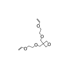 C=COCCOCC1(COCCOC=C)COC1